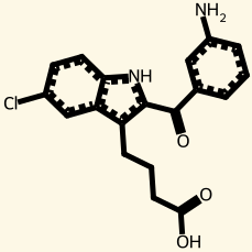 Nc1cccc(C(=O)c2[nH]c3ccc(Cl)cc3c2CCCC(=O)O)c1